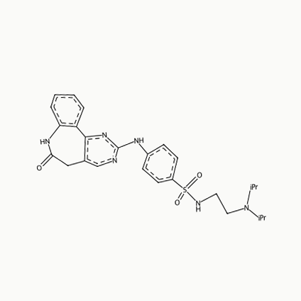 CC(C)N(CCNS(=O)(=O)c1ccc(Nc2ncc3c(n2)-c2ccccc2NC(=O)C3)cc1)C(C)C